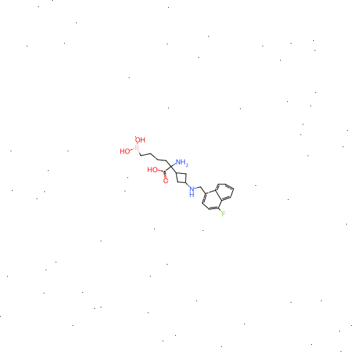 NC(CCCCB(O)O)(C(=O)O)C1CC(NCc2ccc(F)c3ccccc23)C1